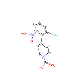 O=C(O)N1CC=C(c2c(F)cccc2[N+](=O)[O-])CC1